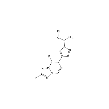 CCOC(C)n1cc(-c2ncn3nc(I)nc3c2F)cn1